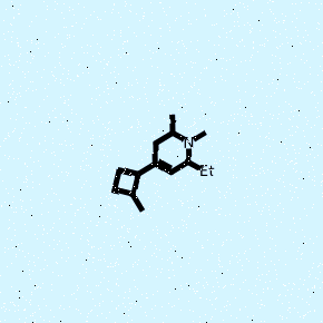 CCC1C=C(C2CCC2C)CC(C)N1C